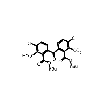 CCCCOC(=O)c1c(C(=O)c2ccc(Cl)c(C(=O)O)c2C(=O)OCCCC)ccc(Cl)c1C(=O)O